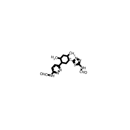 CC1CC(C)[C@H](c2nnc(NC=O)s2)CC1c1ccc(NC=O)nn1